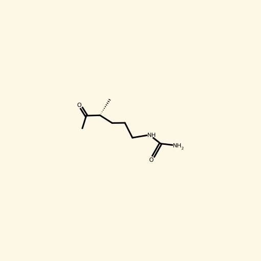 CC(=O)[C@H](C)CCCNC(N)=O